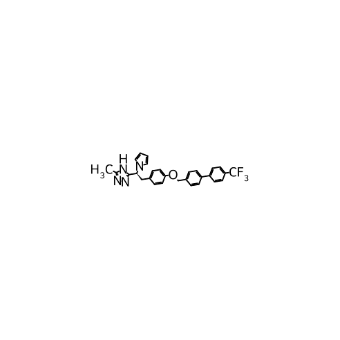 Cc1nnc([C@H](Cc2ccc(OCc3ccc(-c4ccc(C(F)(F)F)cc4)cc3)cc2)n2cccc2)[nH]1